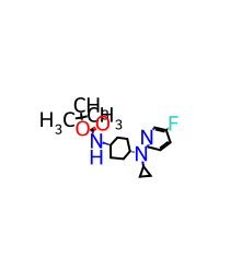 CC(C)(C)OC(=O)N[C@H]1CC[C@H](N(c2ccc(F)cn2)C2CC2)CC1